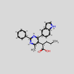 CCCC(C(=O)O)c1c(C)nc(-c2ccccc2)nc1-c1ccc2[nH]ccc2c1